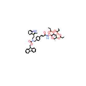 CCC(=O)O[C@H]1[C@H](OC(=O)CC)[C@H](ONC(=O)/C=C/c2ccc(CN(CCc3c(C)[nH]c4ccccc34)C(=O)OCC3c4ccccc4-c4ccccc43)cc2)O[C@@H](C)[C@H]1OC(=O)CC